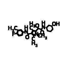 Cc1cc(NC(=O)c2c(C)c(C(=O)C(=O)N[C@H]3CCC[C@H](O)C3)n(C)c2C)ccc1F